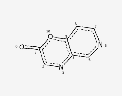 O=c1cnc2cnccc2o1